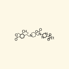 CCS(=O)(=O)c1cnc(N2CC3(CCN(CCc4ccc5c(c4C)COC5=O)CC3)OC2=O)cn1